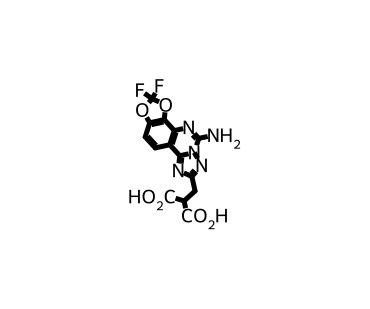 Nc1nc2c3c(ccc2c2nc(CC(C(=O)O)C(=O)O)nn12)OC(F)(F)O3